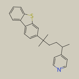 CC(CCC(C)(C)c1ccc2c(c1)sc1ccccc12)c1ccncc1